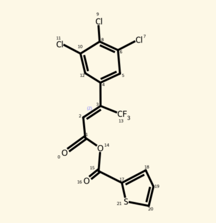 O=C(/C=C(/c1cc(Cl)c(Cl)c(Cl)c1)C(F)(F)F)OC(=O)c1cccs1